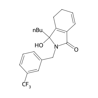 CCCCC1(O)C2=C(C=CCC2)C(=O)N1Cc1cccc(C(F)(F)F)c1